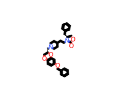 O=C1OC[C@H](Cc2ccccc2)N1CCC1CCN(C[C@H]2COc3ccc(OCc4ccccc4)cc3O2)CC1